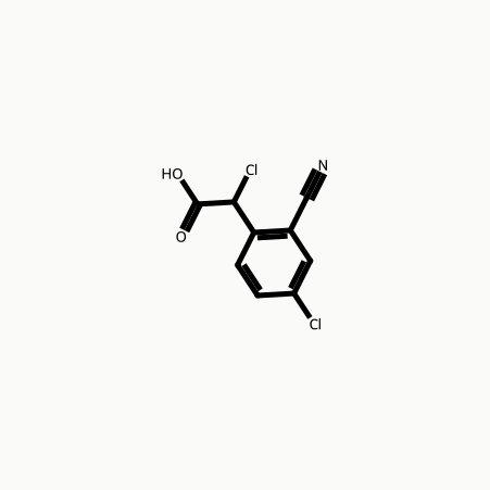 N#Cc1cc(Cl)ccc1C(Cl)C(=O)O